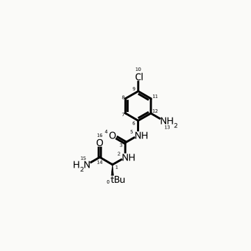 CC(C)(C)[C@H](NC(=O)Nc1ccc(Cl)cc1N)C(N)=O